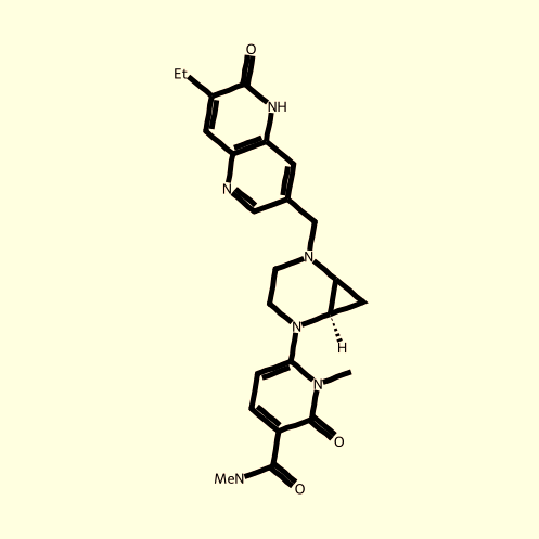 CCc1cc2ncc(CN3CCN(c4ccc(C(=O)NC)c(=O)n4C)[C@@H]4CC43)cc2[nH]c1=O